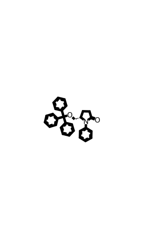 O=C1CC[C@@H](COC(c2ccccc2)(c2ccccc2)c2ccccc2)N1c1ccccc1